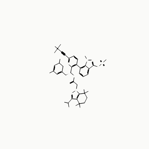 Cn1nc(NS(C)(=O)=O)c2cccc(-c3ccc(C#CC(C)(C)O)nc3[C@H](CC3=CC(F)=CC(F)C3)NC(=O)Cn3nc(C(F)F)c4c3C(F)(F)CCC4(F)F)c21